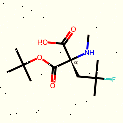 CN[C@@](CC(C)(C)F)(C(=O)O)C(=O)OC(C)(C)C